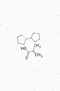 C1CCC(C2CCCC2)C1.C=C(C)C(=O)O